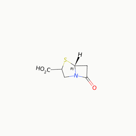 O=C(O)C1CN2C(=O)C[C@H]2S1